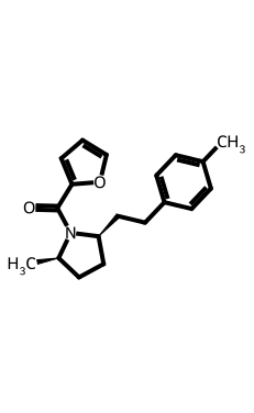 Cc1ccc(CC[C@H]2CC[C@@H](C)N2C(=O)c2ccco2)cc1